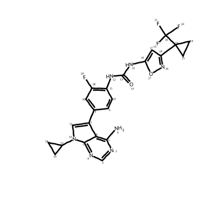 Nc1ncnc2c1c(-c1ccc(NC(=O)Nc3cc(C4(C(F)(F)F)CC4)no3)c(F)c1)cn2C1CC1